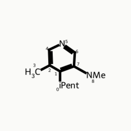 CCCC(C)c1c(C)cncc1NC